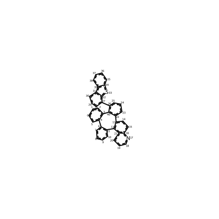 c1ccc2c(c1)-c1ccccc1-c1c(ccc3ncccc13)-c1cccc(-c3cccc4c3sc3ccccc34)c1-2